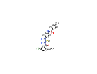 COc1ccc(Cl)cc1C(=O)NC(=S)Nc1ccc(NC(=O)c2ccc(C(C)(C)C)cc2)cc1